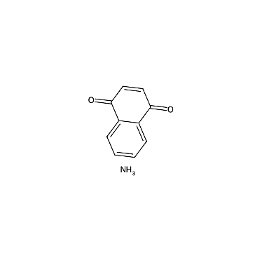 N.O=C1C=CC(=O)c2ccccc21